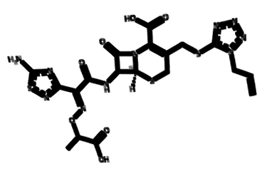 C=CCn1nnnc1SCC1=C(C(=O)O)N2C(=O)C(NC(=O)C(=NOC(C)C(=O)O)c3nsc(N)n3)[C@@H]2SC1